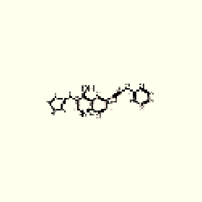 Oc1c(CN2CCCC2)cnc2ccc(C#CCc3ccccc3)cc12